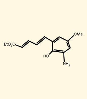 CCOC(=O)/C=C/C=C/c1cc(OC)cc(N)c1O